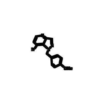 COc1ccc(Cn2ncc3nccc(Br)c32)cc1